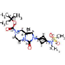 CN(C12CC(N3C[C@@H]4CN(C(=O)OC(C)(C)C)CCN4C3=O)(C1)C2)S(C)(=O)=O